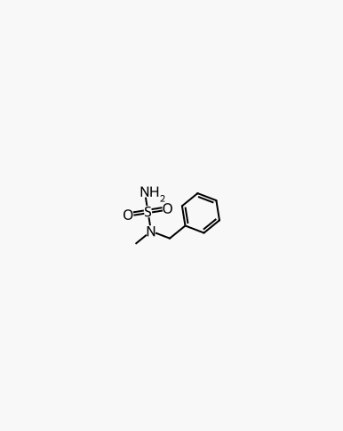 CN(Cc1ccccc1)S(N)(=O)=O